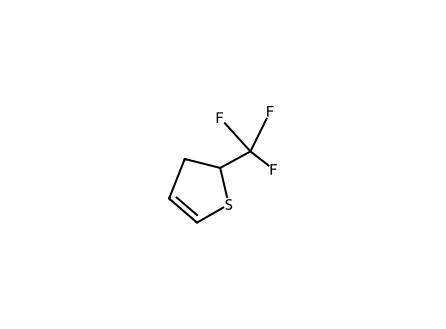 FC(F)(F)C1CC=CS1